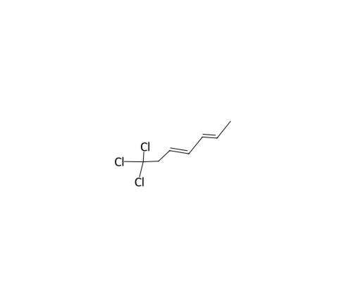 CC=CC=CCC(Cl)(Cl)Cl